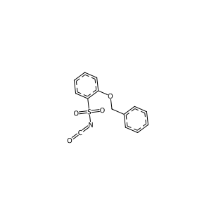 O=C=NS(=O)(=O)c1ccccc1OCc1ccccc1